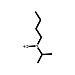 CCCCN(O)C(C)C